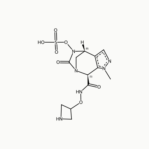 Cn1ncc2c1[C@@H](C(=O)NOC1CNC1)N1C[C@@H]2N(OS(=O)(=O)O)C1=O